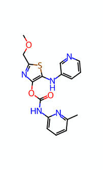 COCc1nc(OC(=O)Nc2cccc(C)n2)c(Nc2cccnc2)s1